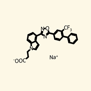 O=C([O-])CCn1ccc2c(-c3noc(-c4ccc(-c5ccccc5)c(C(F)(F)F)c4)n3)cccc21.[Na+]